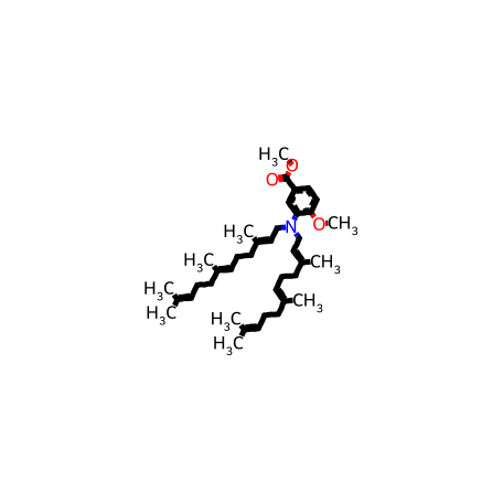 COC(=O)c1ccc(OC)c(N(C/C=C(\C)CC/C=C(\C)CCC=C(C)C)C/C=C(\C)CC/C=C(\C)CCC=C(C)C)c1